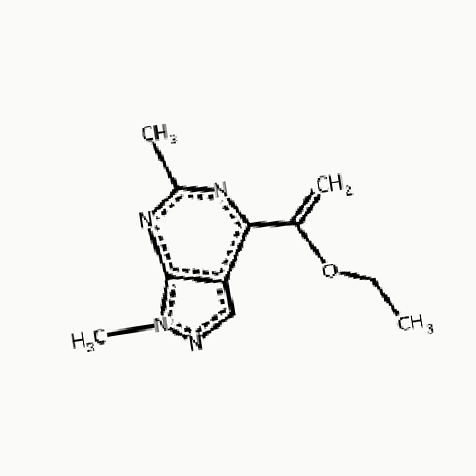 C=C(OCC)c1nc(C)nc2c1cnn2C